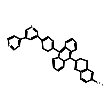 Cc1ccc2c(c1)CCC(C1=c3ccccc3=C(C3=CC=C(c4cncc(-c5ccncc5)c4)CC3)C3C=CC=CC13)=C2